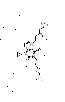 CCCCCCn1c(=O)c2c(ncn2CCC(=O)CCC)n(C2CC2)c1=O